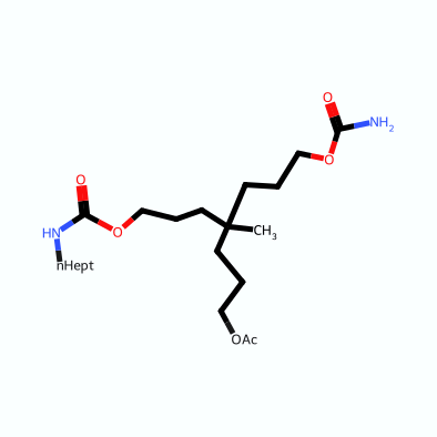 CCCCCCCNC(=O)OCCCC(C)(CCCOC(C)=O)CCCOC(N)=O